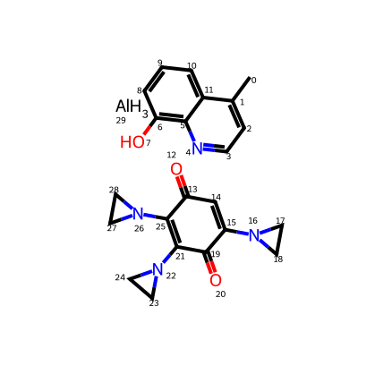 Cc1ccnc2c(O)cccc12.O=C1C=C(N2CC2)C(=O)C(N2CC2)=C1N1CC1.[AlH3]